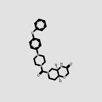 O=C1CO[C@H]2CCN(C(=O)N3CCN(c4ccc(Oc5ccccc5)cc4)CC3)C[C@H]2N1